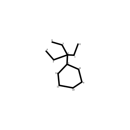 CCC(CC)(CC)C1CCCCC1